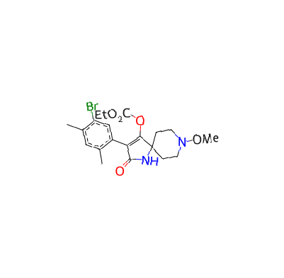 CCOC(=O)OC1=C(c2cc(Br)c(C)cc2C)C(=O)NC12CCN(OC)CC2